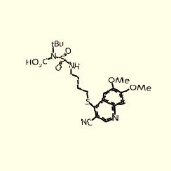 COc1cc2ncc(C#N)c(SCCCCNS(=O)(=O)N(C(=O)O)C(C)(C)C)c2cc1OC